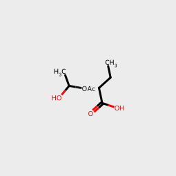 CC(=O)OC(C)O.CCCC(=O)O